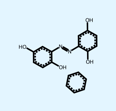 Oc1ccc(O)c(N=Nc2cc(O)ccc2O)c1.c1ccccc1